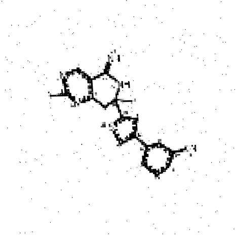 Cc1ncc2c(n1)C[C@@](C)(c1cc(-c3cccc(C#N)c3)cs1)NC2=N